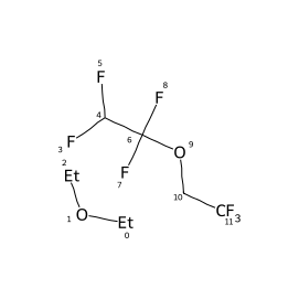 CCOCC.FC(F)C(F)(F)OCC(F)(F)F